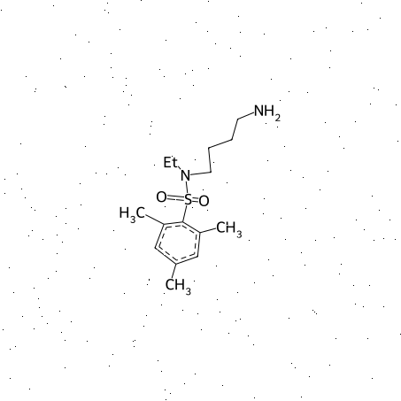 CCN(CCCCN)S(=O)(=O)c1c(C)cc(C)cc1C